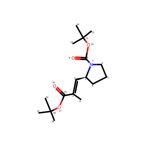 CC(=C[C@@H]1CCCN1C(=O)OC(C)(C)C)C(=O)OC(C)(C)C